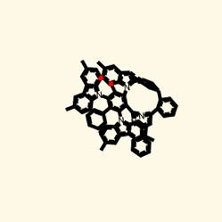 Cc1c#cc2c(c1)c1cc(C)ccc1n2-c1c(C2=CC=CCC2)c(-n2c3ccc(C)cc3c3cc(C)ccc32)c(C)c2c1-c1nc(-c3ccccc3)cc(n1)-c1ccccc1-c1ccc3c(c1)c1cc(C)ccc1n3-2